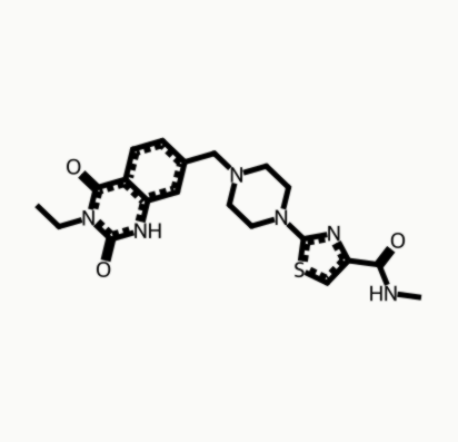 CCn1c(=O)[nH]c2cc(CN3CCN(c4nc(C(=O)NC)cs4)CC3)ccc2c1=O